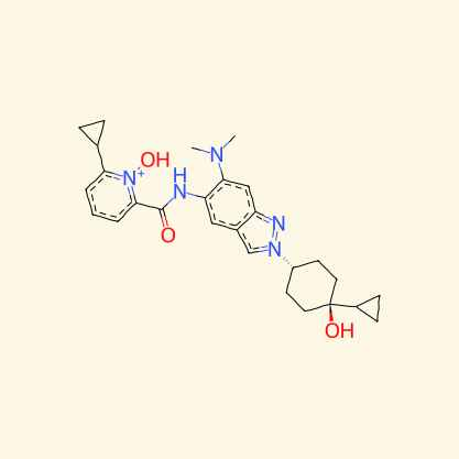 CN(C)c1cc2nn([C@H]3CC[C@@](O)(C4CC4)CC3)cc2cc1NC(=O)c1cccc(C2CC2)[n+]1O